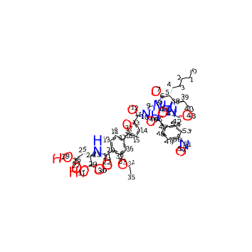 CCCCC[C@@H](C(=O)NCNC(=O)c1ccc(-c2ccc(C(=O)N[C@@H](CC(=O)O)C(=O)O)c(OCC)c2)o1)[C@@H](CC)N(C=O)OC(=O)c1ccc(N=O)cc1